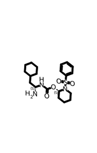 N[C@H](CC1CCCCC1)NC(=O)O[C@H]1CCCCN1S(=O)(=O)c1ccccc1